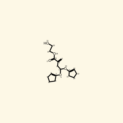 C=C(CC(OC1=CCCC1)OC1=CCCC1)C(=O)OCCO